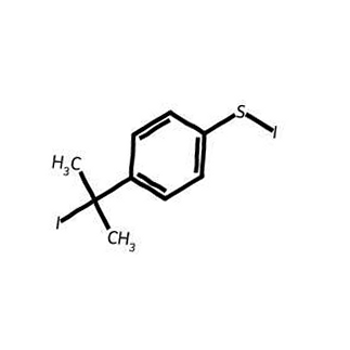 CC(C)(I)c1ccc(SI)cc1